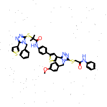 COc1ccc(Cn2c(SCC(=O)Nc3ccccc3)nnc2-c2csc(-c3ccc(NC(=O)C(C)(C)Sc4nnc(-c5ccsc5)n4Cc4ccccc4)cc3)c2)cc1